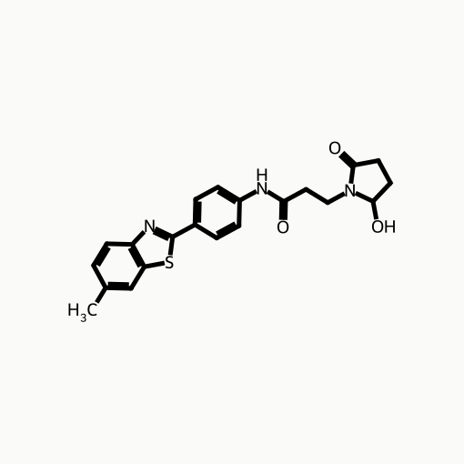 Cc1ccc2nc(-c3ccc(NC(=O)CCN4C(=O)CCC4O)cc3)sc2c1